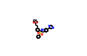 COC(=O)CCc1cccc(C(N)(Cc2ccc(-c3cnccn3)cc2)S(=O)(=O)c2ccccc2)c1